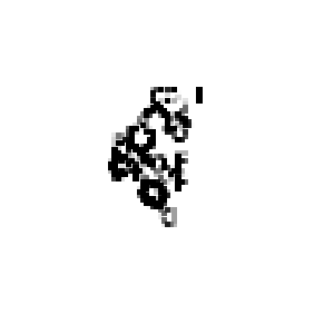 CC(C)c1ccnn1C1(C(=O)Nc2ccc(Cl)cc2OC(F)F)CCN(C[C@H](C(=O)O)[C@@H]2CCOC2)CC1